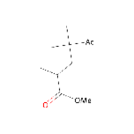 COC(=O)C(C)CC(C)(C)C(C)=O